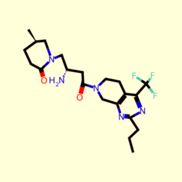 CCCc1nc2c(c(C(F)(F)F)n1)CCN(C(=O)C[C@H](N)CN1C[C@H](C)CCC1=O)C2